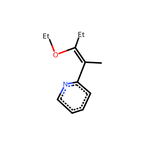 CCO/C(CC)=C(/C)c1ccccn1